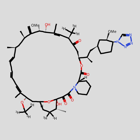 [2H]C([2H])([2H])O[C@H]1C[C@@H]2CC([2H])([2H])[C@@H](C)[C@@](O)(O2)C(=O)C(=O)N2CCCC[C@H]2C(=O)O[C@H]([C@H](C)C[C@@H]2CC[C@H](n3cnnn3)[C@H](OC)C2)CC(=O)[C@H](C([2H])([2H])[2H])/C=C(\C)[C@@H](O)[C@@H](OC)C(=C)[C@H](C)C[C@H](C)/C=C/C=C/C=C/1C